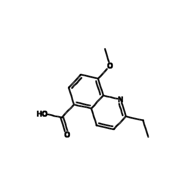 CCc1ccc2c(C(=O)O)ccc(OC)c2n1